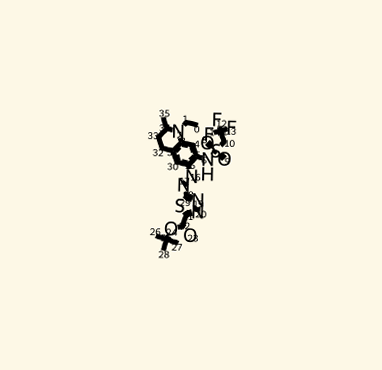 CCN1c2cc(NS(=O)(=O)CC(F)(F)F)c(N=Nc3nnc(C(=O)OC(C)(C)C)s3)cc2CCC1C